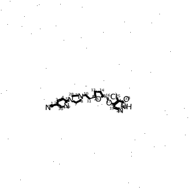 N#Cc1ccc(N2CCN(CC[C@H]3CC[C@H](COc4cn[nH]c(=O)c4Cl)O3)CC2)nc1